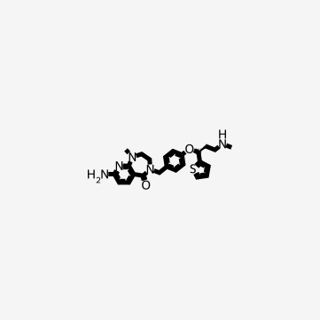 CNCC[C@H](Oc1ccc(CN2CCN(C)c3nc(N)ccc3C2=O)cc1)c1cccs1